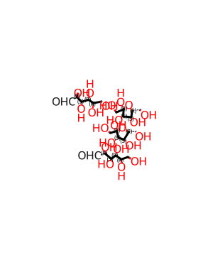 O=C[C@H](O)[C@@H](O)[C@H](O)[C@H](O)CO.O=C[C@H](O)[C@@H](O)[C@H](O)[C@H](O)CO.OC[C@H]1O[C@](O)(CO)[C@@H](O)[C@@H]1O.OC[C@H]1O[C@](O)(CO)[C@@H](O)[C@@H]1O